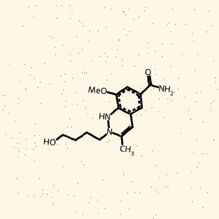 COc1cc(C(N)=O)cc2c1NN(CCCCO)C(C)=C2